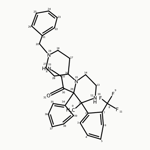 CC1(c2ccccc2C(F)(F)F)NCCN(C2CCN(Cc3ccccc3)CC2)C1(C(=O)CN)c1ccccc1